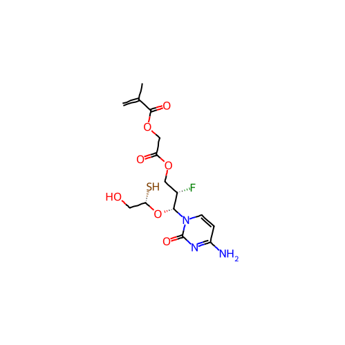 C=C(C)C(=O)OCC(=O)OC[C@H](F)[C@@H](O[C@@H](S)CO)n1ccc(N)nc1=O